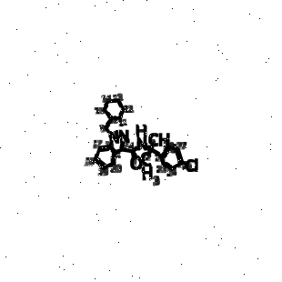 CC(C)(NC(=O)c1nn(CC2CCCCC2)c2ccccc12)c1ccc(Cl)cc1